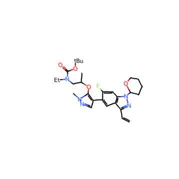 C=Cc1nn(C2CCCCO2)c2cc(F)c(-c3cnn(C)c3OC(C)CN(CC)C(=O)OC(C)(C)C)cc12